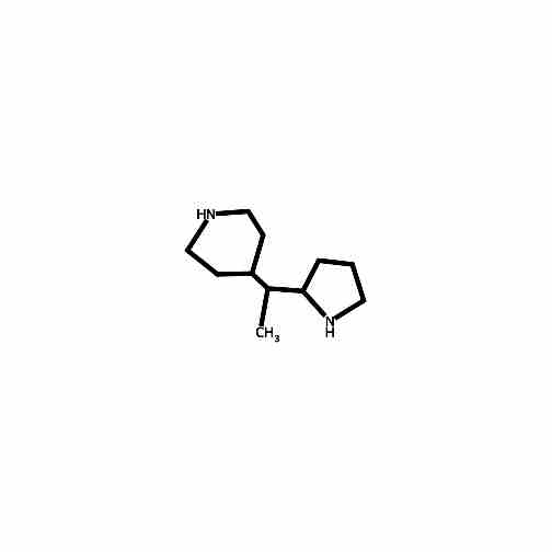 CC(C1CCNCC1)C1CCCN1